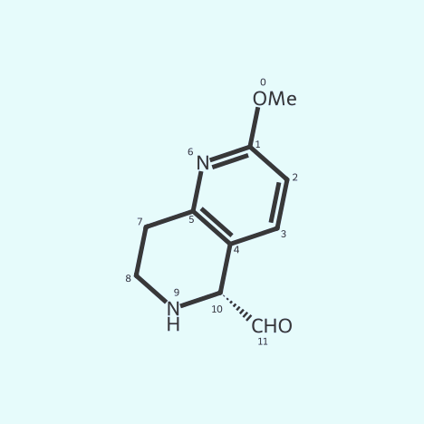 COc1ccc2c(n1)CCN[C@H]2C=O